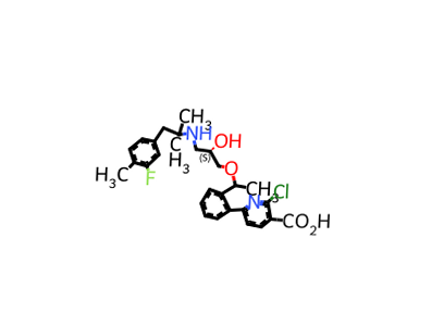 Cc1ccc(CC(C)(C)NC[C@H](O)COC(C)c2ccccc2-c2ccc(C(=O)O)c(Cl)n2)cc1F